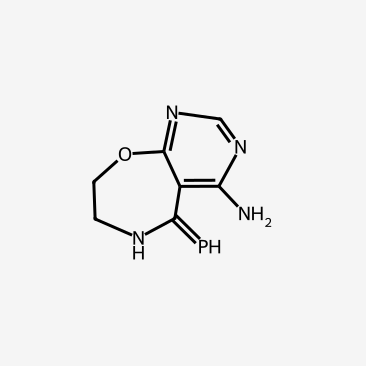 Nc1ncnc2c1C(=P)NCCO2